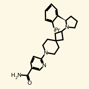 CC(C)c1ccccc1[C@H]1CCCN1C1CC2(CCN(c3ccc(C(N)=O)cn3)CC2)C1